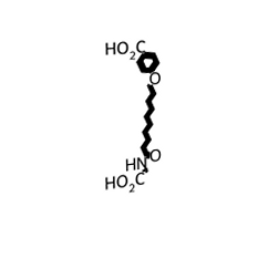 O=C(O)CNC(=O)CCCCCCCCCOc1ccc(C(=O)O)cc1